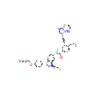 COCOc1ccc(-c2cn(C)c3cc(NC(=O)c4ccc(C)c(C#Cc5cnc6cccnn56)c4)ccc23)cc1